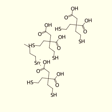 CCC[CH2][Sn].O=C(O)CC(CCS)(CCS)C(=O)O.O=C(O)CC(CCS)(CCS)C(=O)O.O=C(O)CC(CCS)(CCS)C(=O)O